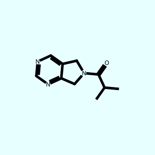 CC(C)C(=O)N1Cc2cncnc2C1